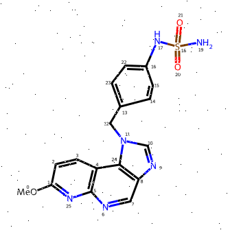 COc1ccc2c(ncc3ncn(Cc4ccc(NS(N)(=O)=O)cc4)c32)n1